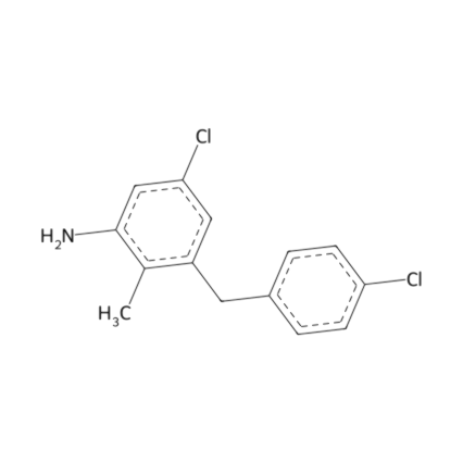 Cc1c(N)cc(Cl)cc1Cc1ccc(Cl)cc1